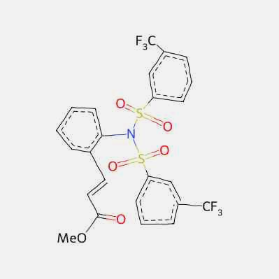 COC(=O)/C=C/c1ccccc1N(S(=O)(=O)c1cccc(C(F)(F)F)c1)S(=O)(=O)c1cccc(C(F)(F)F)c1